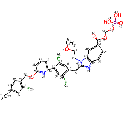 COCCn1c(Cc2cc(F)c(-c3cccc(OCc4ccc(C)cc4F)n3)cc2F)nc2ccc(C(=O)OCOP(=O)(O)O)cc21